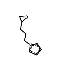 c1ccn(CCCC2CO2)c1